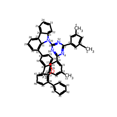 Cc1cc(C)cc(-c2nc(-c3cc(C)cc(C)c3)nc(-n3c4ccccc4c4cccc(-c5ccc6oc7c(-c8ccccc8)cccc7c6c5)c43)n2)c1